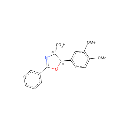 COc1ccc([C@H]2OC(c3ccccc3)=N[C@@H]2C(=O)O)cc1OC